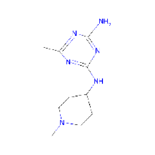 Cc1nc(N)nc(NC2CCN(C)CC2)n1